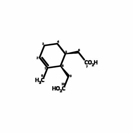 CC1=CCC[C@@H](CC(=O)O)[C@H]1CC(=O)O